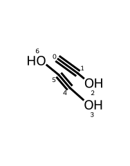 C#CO.OC#CO